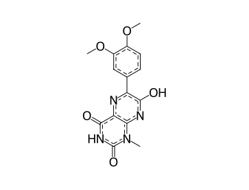 COc1ccc(-c2nc3c(=O)[nH]c(=O)n(C)c3nc2O)cc1OC